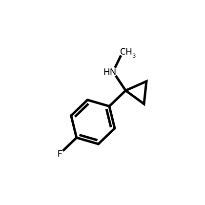 CNC1(c2ccc(F)cc2)CC1